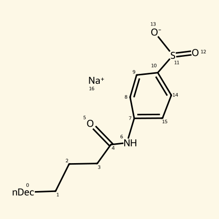 CCCCCCCCCCCCCC(=O)Nc1ccc(S(=O)[O-])cc1.[Na+]